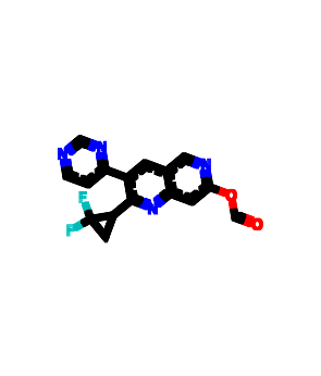 O=COc1cc2nc(C3CC3(F)F)c(-c3ccncn3)cc2cn1